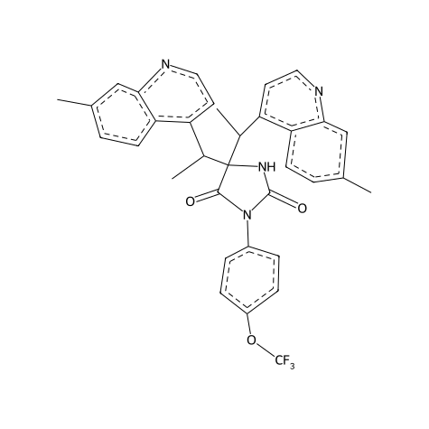 Cc1ccc2c(C(C)C3(C(C)c4ccnc5cc(C)ccc45)NC(=O)N(c4ccc(OC(F)(F)F)cc4)C3=O)ccnc2c1